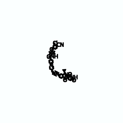 CC1(C)[C@H](NC(=O)c2ccc(N3CCC(CN4CCN(c5ccc6c(=O)n([C@H]7CCC(=O)NC7=O)nc(C7CC7)c6c5)CC4)CC3)cc2)C(C)(C)[C@H]1Oc1ccc(C#N)c(Cl)c1